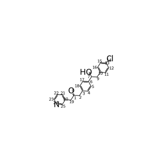 O=C(Cc1ccc(C(O)Cc2ccc(Cl)cc2)cc1)Cc1cccnc1